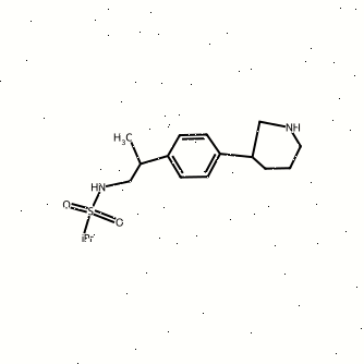 CC(CNS(=O)(=O)C(C)C)c1ccc(C2CCCNC2)cc1